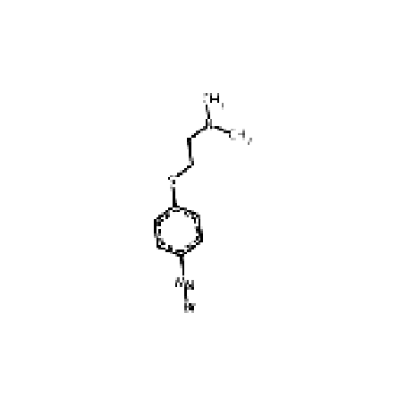 CN(C)CCSc1cc[c]([Mg][Br])cc1